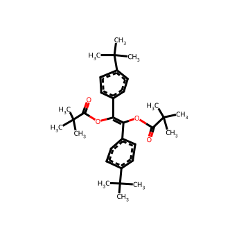 CC(C)(C)C(=O)O/C(=C(/OC(=O)C(C)(C)C)c1ccc(C(C)(C)C)cc1)c1ccc(C(C)(C)C)cc1